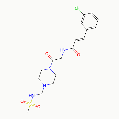 CS(=O)(=O)NCN1CCN(C(=O)CNC(=O)/C=C/c2cccc(Cl)c2)CC1